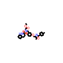 CCOC(=O)CN(Cc1cccc(OCc2nc(-c3ccc(C)cc3)oc2C)c1)S(=O)(=O)C1CCc2ccccc2N1